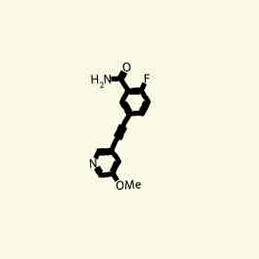 COc1cncc(C#Cc2ccc(F)c(C(N)=O)c2)c1